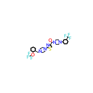 O=C(c1csc(N2CCN(Cc3ccccc3OC(F)(F)F)CC2)n1)N1CCN(c2cccc(C(F)(F)F)c2)CC1